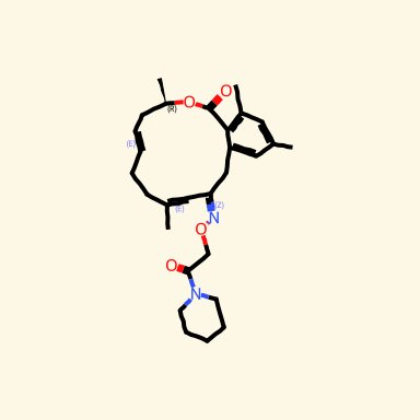 C/C1=C\C(=N/OCC(=O)N2CCCCC2)Cc2cc(C)cc(C)c2C(=O)O[C@H](C)C/C=C/CC1